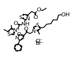 CCOC(=O)Cc1csc(NC(=O)C[n+]2csc(C)c2C)n1.Cc1c(CCCCCCO)sc[n+]1CC(=O)c1cc(-c2ccccc2)no1.[Br-].[Cl-]